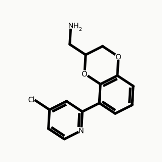 NCC1COc2cccc(-c3cc(Cl)ccn3)c2O1